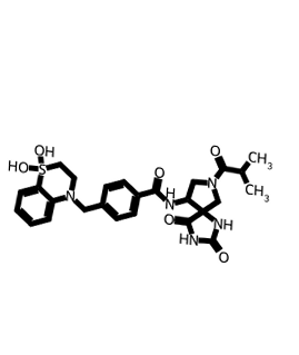 CC(C)C(=O)N1CC(NC(=O)c2ccc(CN3CCS(O)(O)c4ccccc43)cc2)C2(C1)NC(=O)NC2=O